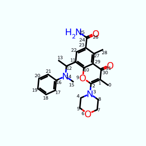 Cc1c(N2CCOCC2)oc2c(C(C)N(C)c3ccccc3)cc(C(N)=O)c(C)c2c1=O